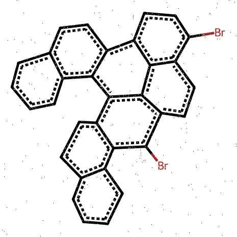 Brc1ccc2c3ccc4ccccc4c3c3c4ccc5ccccc5c4c(Br)c4ccc1c2c43